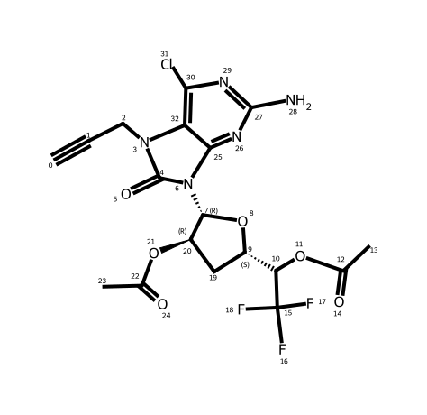 C#CCn1c(=O)n([C@@H]2O[C@H](C(OC(C)=O)C(F)(F)F)C[C@H]2OC(C)=O)c2nc(N)nc(Cl)c21